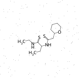 CCNC(=S)C(CC)NC(=S)CC1CCCCO1